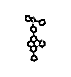 Cc1cc(-c2ccccc2)cc2ccc3cc(-c4ccc(-n5c(-c6ccccc6)nc6ccccc65)cc4)cc(-c4ccccn4)c3c12